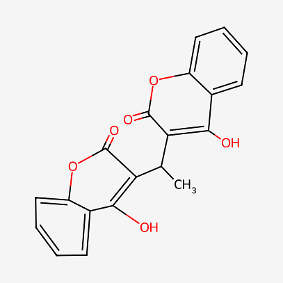 CC(c1c(O)c2ccccc2oc1=O)c1c(O)c2ccccc2oc1=O